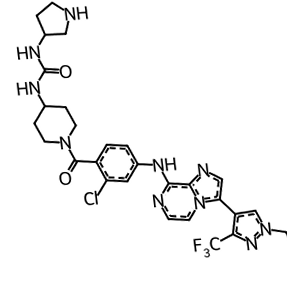 N#CCn1cc(-c2cnc3c(Nc4ccc(C(=O)N5CCC(NC(=O)NC6CCNC6)CC5)c(Cl)c4)nccn23)c(C(F)(F)F)n1